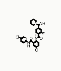 N=C(c1ccc(C(=O)Nc2ccc(Cl)cc2C(=O)Nc2ccc(Cl)cn2)c(F)c1)N1CCCCC1